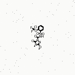 COc1nn(C(=O)NS(=O)(=O)c2ccccc2OC(F)(F)Cl)c(=O)n1C